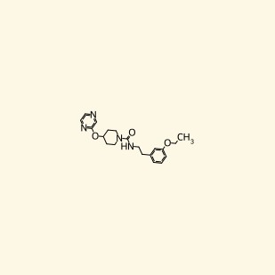 CCOc1cccc(CCNC(=O)N2CCC(Oc3cnccn3)CC2)c1